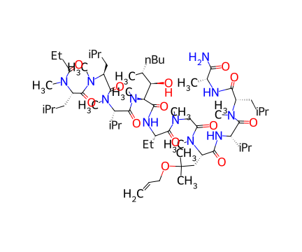 C=CCOC(C)(C)C[C@@H](C(=O)N[C@H](C(=O)N(C)[C@@H](CC(C)C)C(=O)N[C@H](C)C(N)=O)C(C)C)N(C)C(=O)CN(C)C(=O)[C@H](CC)NC(=O)[C@H]([C@H](O)[C@H](C)CCCC)N(C)C(=O)[C@H](C(C)C)N(C)C(=O)[C@H](CC(C)C)N(C)C(=O)[C@H](CC(C)C)N(C)C(=O)CC